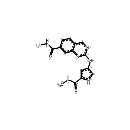 CNC(=O)c1ccc2cnc(Nc3c[nH]c(C(=O)NC)c3)nc2c1